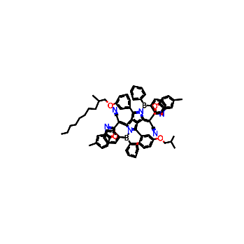 CCCCCCCCC(C)COc1cccc(-c2c3/c(=C(\C#N)c4nc5cc(C)ccc5o4)n(B(c4ccccc4)c4ccccc4)c(-c4cccc(OCC(C)C)c4)c3/c(=C(\C#N)c3nc4cc(C)ccc4o3)n2B(c2ccccc2)c2ccccc2)c1